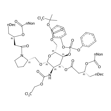 CCCCCCCCCCC[C@H](CC(=O)O[C@@H]1[C@@H](NC(=O)OCC(Cl)(Cl)Cl)[C@H](OC[C@@H]2CCCN2C(=O)C[C@@H](CCCCCCCCCCC)OC(=O)CCCCCCCCC)O[C@H](COC(=O)OC(C)(C)C(Cl)(Cl)Cl)[C@H]1OP(=O)(Oc1ccccc1)Oc1ccccc1)OC(=O)CCCCCCCCC